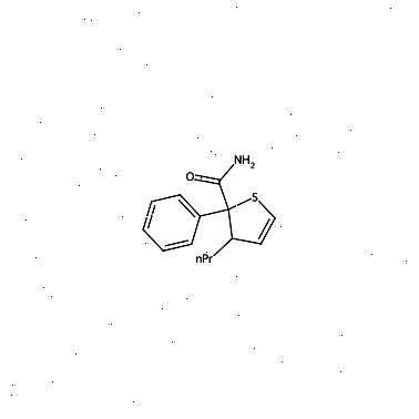 CCCC1C=CSC1(C(N)=O)c1ccccc1